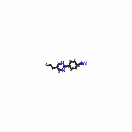 CCCc1cnc(-c2ccc(C#N)cc2)nc1